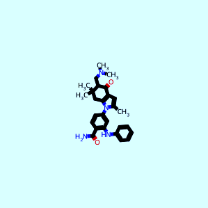 Cc1cc2c(n1-c1ccc(C(N)=O)c(Nc3ccccc3)c1)CC(C)(C)C(CN(C)C)C2=O